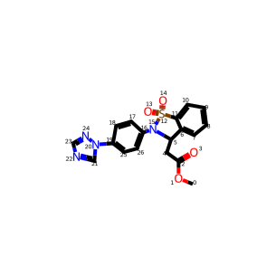 COC(=O)CC1c2ccccc2S(=O)(=O)N1c1ccc(-n2cncn2)cc1